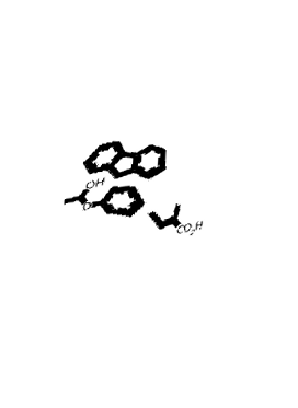 CC(O)Oc1ccccc1.CC=C(C)C(=O)O.c1ccc2c(c1)Cc1ccccc1-2